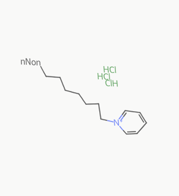 CCCCCCCCCCCCCCCC[n+]1ccccc1.Cl.Cl.Cl